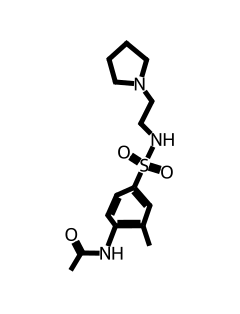 CC(=O)Nc1ccc(S(=O)(=O)NCCN2CCCC2)cc1C